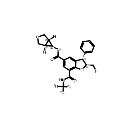 [2H]C([2H])([2H])NC(=O)c1cc(C(=O)N[C@H]2[C@@H]3COC[C@@H]32)cc2c1O[C@H](CF)[C@H]2c1ccccc1